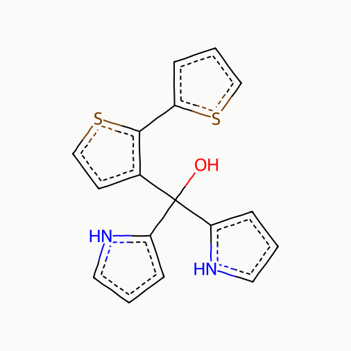 OC(c1ccc[nH]1)(c1ccc[nH]1)c1ccsc1-c1cccs1